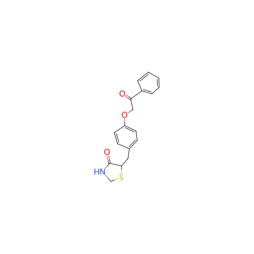 O=C(COc1ccc(CC2SCNC2=O)cc1)c1ccccc1